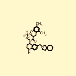 CCN(C(=O)C(N)Cc1c(C)cc(C)cc1C)C1CCNc2ccc(CN3CCC4(CCCCC4)C3)cc21